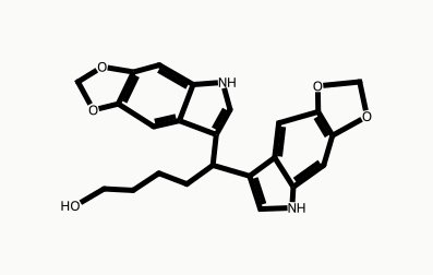 OCCCCC(c1c[nH]c2cc3c(cc12)OCO3)c1c[nH]c2cc3c(cc12)OCO3